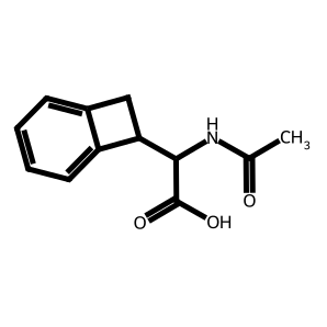 CC(=O)NC(C(=O)O)C1Cc2ccccc21